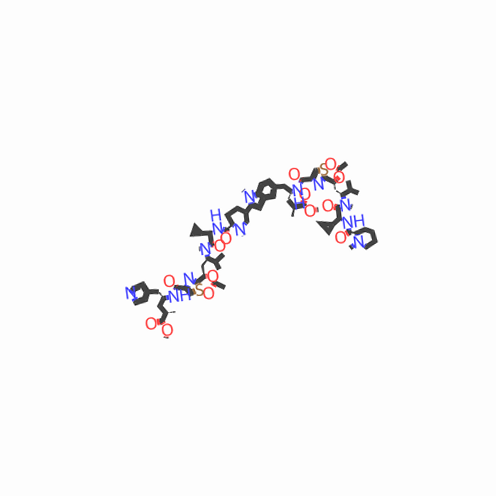 COC(=O)[C@@H](C)C[C@H](Cc1ccc2c(c1)cc(C1CC[C@H](C(=O)N[C@H](C(=O)N(C)[C@H](C[C@@H](OC(C)=O)c3nc(C(=O)N[C@@H](Cc4ccncc4)C[C@H](C)C(=O)OC)cs3)C(C)C)C3CC3)N(C)C1)n2C)NC(=O)c1csc([C@@H](C[C@H](C(C)C)N(C)C(=O)[C@@H](NC(=O)[C@H]2CCCCN2C)C2CC2)OC(C)=O)n1